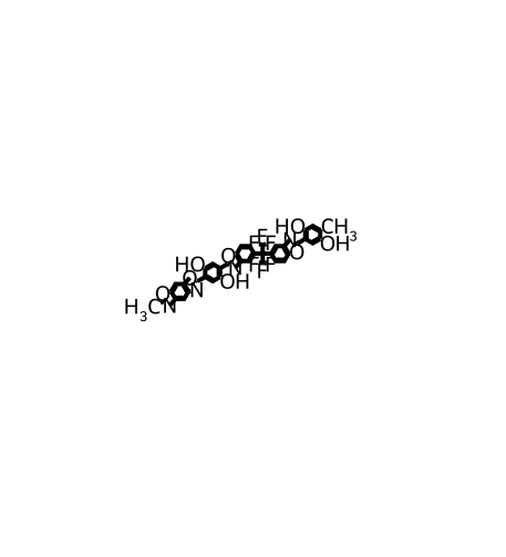 Cc1nc2cc3nc(-c4cc(O)c(-c5nc6cc(C(c7ccc8oc(-c9cc(O)c(C)cc9O)nc8c7)(C(F)(F)F)C(F)(F)F)ccc6o5)cc4O)oc3cc2o1